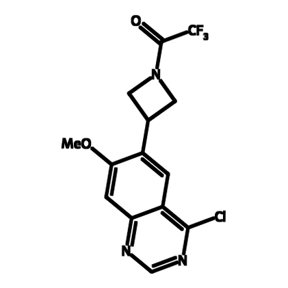 COc1cc2ncnc(Cl)c2cc1C1CN(C(=O)C(F)(F)F)C1